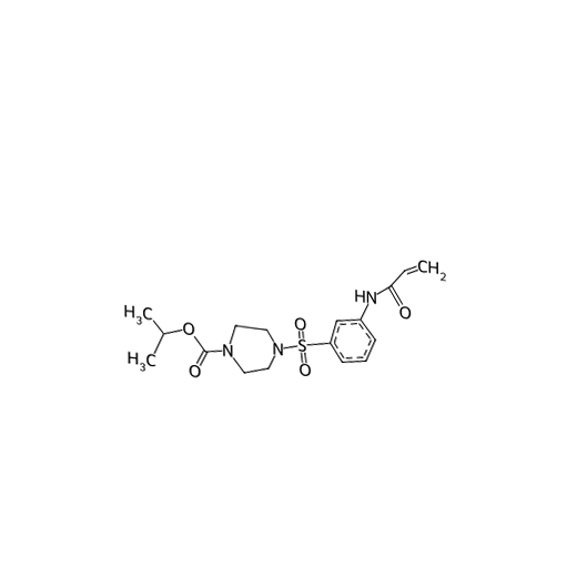 C=CC(=O)Nc1cccc(S(=O)(=O)N2CCN(C(=O)OC(C)C)CC2)c1